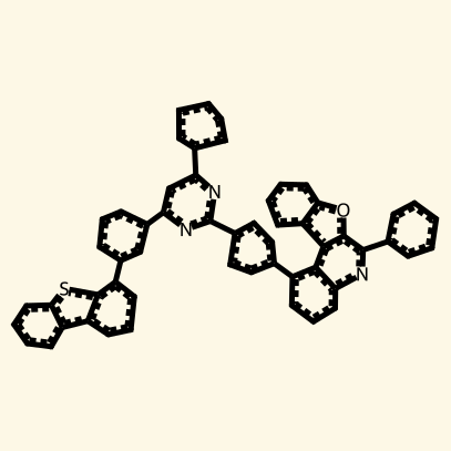 c1ccc(-c2cc(-c3cccc(-c4cccc5c4sc4ccccc45)c3)nc(-c3ccc(-c4cccc5nc(-c6ccccc6)c6oc7ccccc7c6c45)cc3)n2)cc1